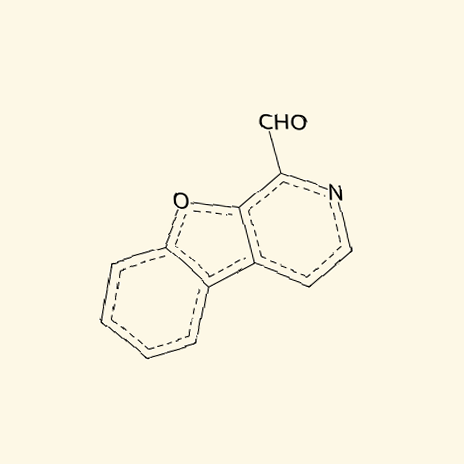 O=Cc1nccc2c1oc1ccccc12